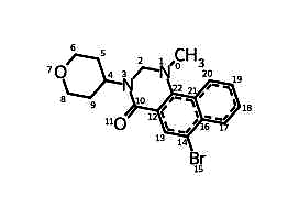 CN1CN(C2CCOCC2)C(=O)c2cc(Br)c3ccccc3c21